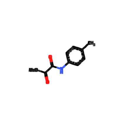 COC(=O)C(=O)Nc1ccc(C)cc1